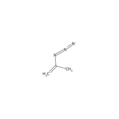 C=C(C)N=[N+]=[N-]